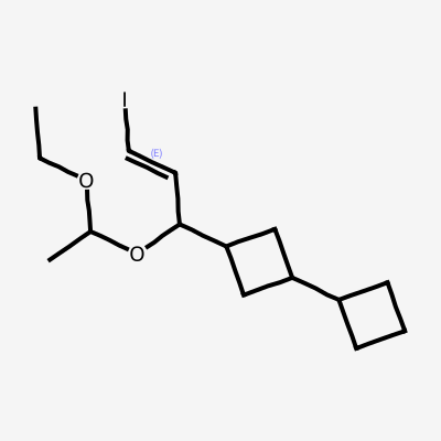 CCOC(C)OC(/C=C/I)C1CC(C2CCC2)C1